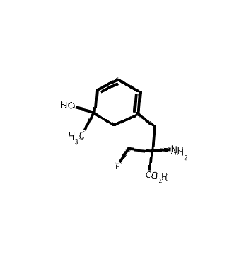 CC1(O)C=CC=C(CC(N)(CF)C(=O)O)C1